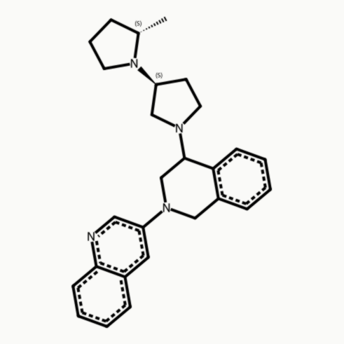 C[C@H]1CCCN1[C@H]1CCN(C2CN(c3cnc4ccccc4c3)Cc3ccccc32)C1